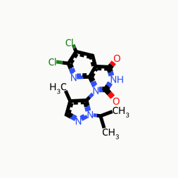 Cc1cnn(C(C)C)c1-n1c(=O)[nH]c(=O)c2cc(Cl)c(Cl)nc21